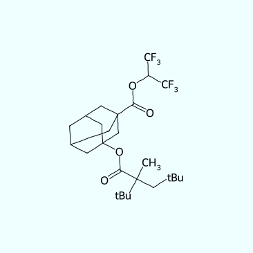 CC(C)(C)CC(C)(C(=O)OC12CC3CC(C1)CC(C(=O)OC(C(F)(F)F)C(F)(F)F)(C3)C2)C(C)(C)C